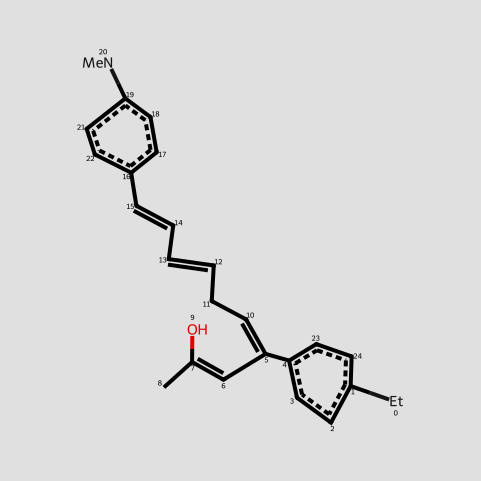 CCc1ccc(C(/C=C(/C)O)=C/C/C=C/C=C/c2ccc(NC)cc2)cc1